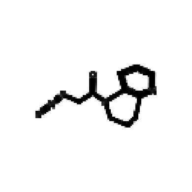 [N-]=[N+]=NCC(=O)N1CCCc2ncccc21